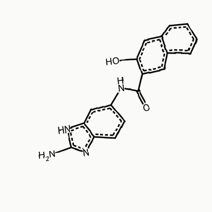 Nc1nc2ccc(NC(=O)c3cc4ccccc4cc3O)cc2[nH]1